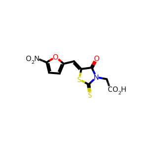 O=C(O)CN1C(=O)C(=Cc2ccc([N+](=O)[O-])o2)SC1=S